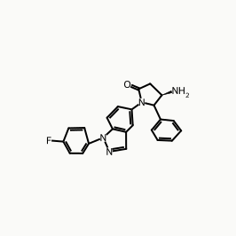 N[C@@H]1CC(=O)N(c2ccc3c(cnn3-c3ccc(F)cc3)c2)C1c1ccccc1